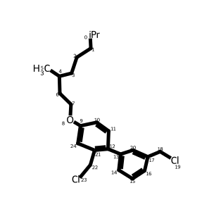 CC(C)CCCC(C)CCOc1ccc(-c2cccc(CCl)c2)c(CCl)c1